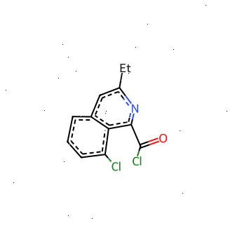 CCc1cc2cccc(Cl)c2c(C(=O)Cl)n1